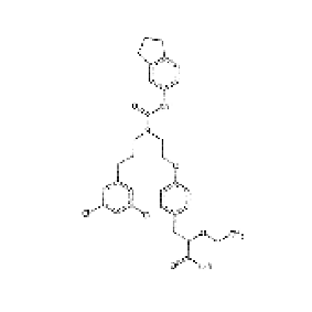 CCOC(Cc1ccc(OCCN(CCCc2cc(Cl)cc(Cl)c2)C(=O)Nc2ccc3c(c2)CCC3)cc1)C(=O)O